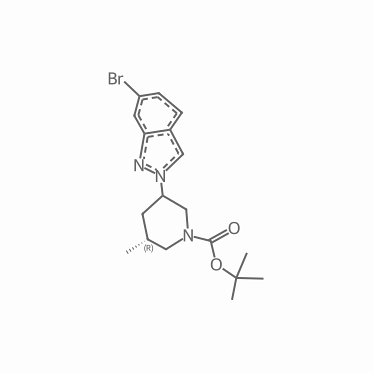 C[C@@H]1CC(n2cc3ccc(Br)cc3n2)CN(C(=O)OC(C)(C)C)C1